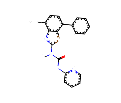 COc1ccc(-c2ccccc2)c2sc(N(C)C(=O)Nc3ccccn3)nc12